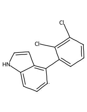 Clc1cccc(-c2[c]ccc3[nH]ccc23)c1Cl